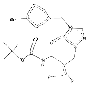 CC(C)(C)OC(=O)NCC(Cn1ncn(Cc2ccc(Br)cc2)c1=O)=C(F)F